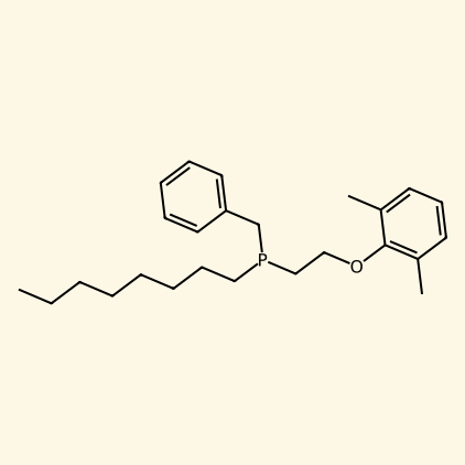 CCCCCCCCP(CCOc1c(C)cccc1C)Cc1ccccc1